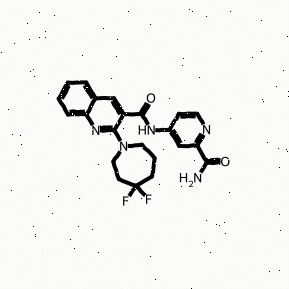 NC(=O)c1cc(NC(=O)c2cc3ccccc3nc2N2CCCC(F)(F)CC2)ccn1